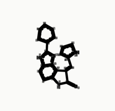 O=C1Nc2ccc3[nH]c(-c4ccccc4)nc3c2/C1=C\c1ccc[nH]1